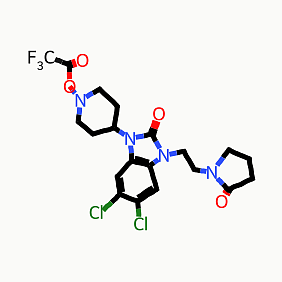 O=C1CCCN1CCn1c(=O)n(C2CCN(OC(=O)C(F)(F)F)CC2)c2cc(Cl)c(Cl)cc21